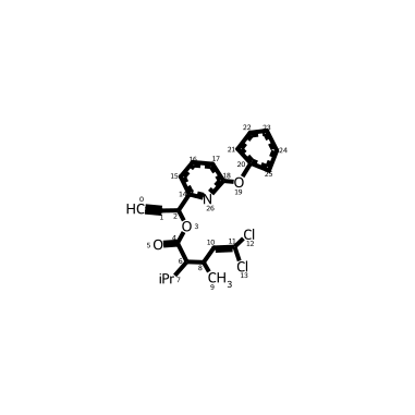 C#CC(OC(=O)C(C(C)C)C(C)C=C(Cl)Cl)c1cccc(Oc2ccccc2)n1